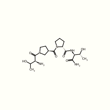 CC(O)[C@H](N)C(=O)N1CC[C@@H](C(=O)N2CCC[C@@H]2C(=O)N[C@H](C(N)=O)[C@@H](C)O)C1